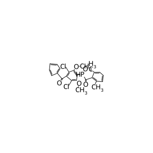 COc1c(Cl)c(C(=O)c2ccccc2)c(Cl)c(OC)c1[PH](=O)C(=O)c1c(C)cccc1C